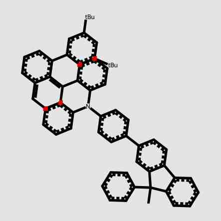 CC(C)(C)c1cc(-c2cccc3c2=C(c2ccccc2N(c2ccccc2)c2ccc(-c4ccc5c(c4)C(C)(c4ccccc4)c4ccccc4-5)cc2)CCC=3)cc(C(C)(C)C)c1